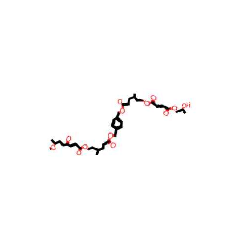 COC(C)CCC(=O)/C=C/C(=O)OCCC(C)CCC(=O)OCc1ccc(COC(=O)CCC(C)CCOC(=O)/C=C/C(=O)OCC(C)O)cc1